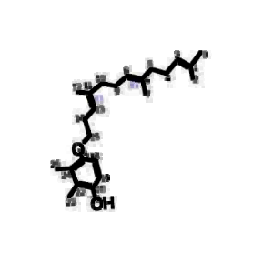 CC(C)=CCC/C(C)=C/CC/C(C)=C/CCOc1ccc(O)c(C)c1C